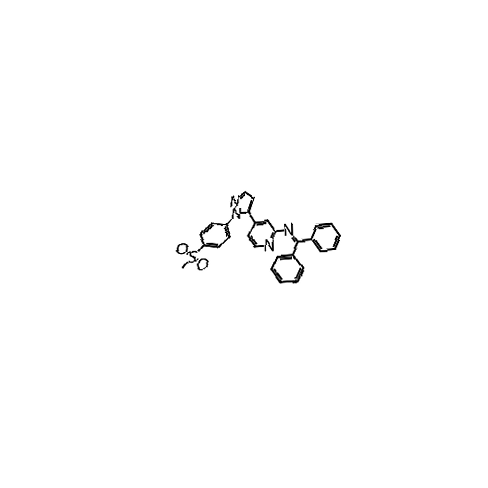 CS(=O)(=O)c1ccc(-n2nccc2-c2ccnc(N=C(c3ccccc3)c3ccccc3)c2)cc1